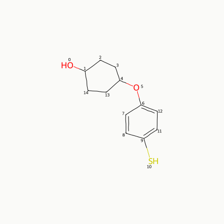 OC1CCC(Oc2ccc(S)cc2)CC1